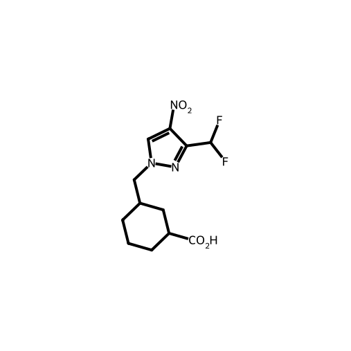 O=C(O)C1CCCC(Cn2cc([N+](=O)[O-])c(C(F)F)n2)C1